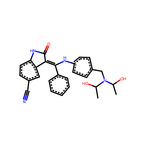 CC(O)N(Cc1ccc(N/C(=C2\C(=O)Nc3ccc(C#N)cc32)c2ccccc2)cc1)C(C)O